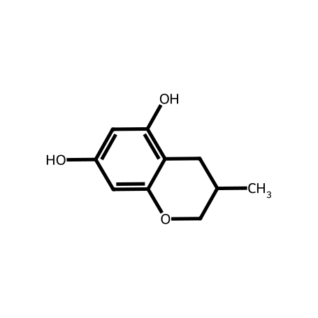 CC1COc2cc(O)cc(O)c2C1